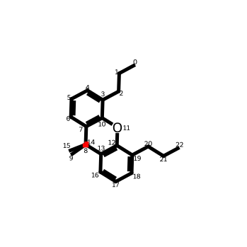 CCCc1cccc(CC)c1Oc1c(CC)cccc1CCC